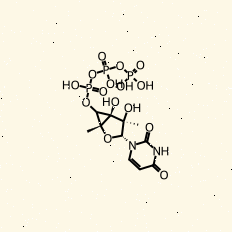 C[C@]1(O)[C@H](n2ccc(=O)[nH]c2=O)O[C@]2(C)C(OP(=O)(O)OP(=O)(O)OP(=O)(O)O)[C@]12O